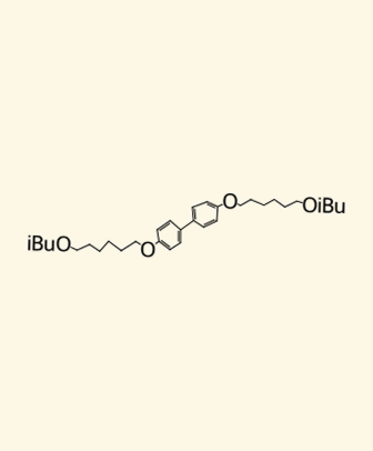 CC(C)COCCCCCCOc1ccc(-c2ccc(OCCCCCCOCC(C)C)cc2)cc1